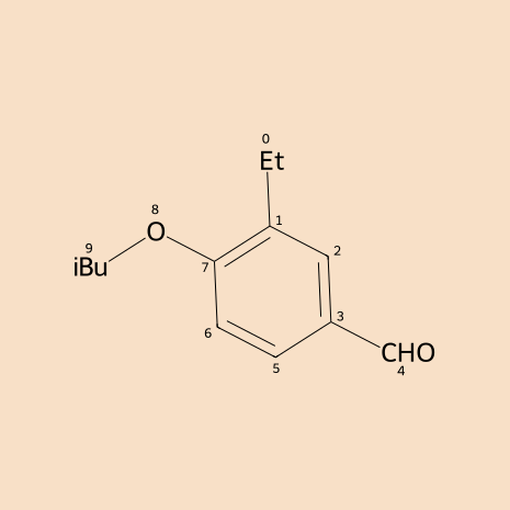 CCc1cc(C=O)ccc1OC(C)CC